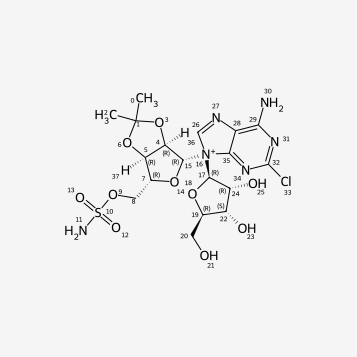 CC1(C)O[C@@H]2[C@H](O1)[C@@H](COS(N)(=O)=O)O[C@H]2[N+]1([C@@H]2O[C@H](CO)[C@@H](O)[C@H]2O)C=Nc2c(N)nc(Cl)nc21